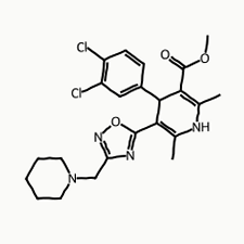 COC(=O)C1=C(C)NC(C)=C(c2nc(CN3CCCCC3)no2)C1c1ccc(Cl)c(Cl)c1